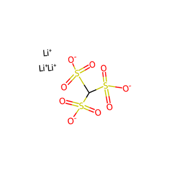 O=S(=O)([O-])C(S(=O)(=O)[O-])S(=O)(=O)[O-].[Li+].[Li+].[Li+]